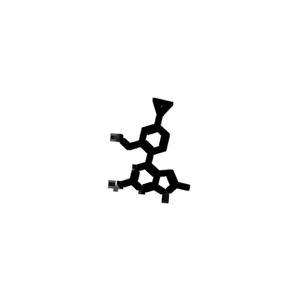 Cc1cc2c(-c3ccc([C]4CC4)cc3CO)nc(N)nc2[nH]1